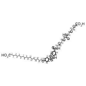 O=C(O)CCCCCCCCCCCCCCCCCOc1ccc(S(=O)(=O)Nc2ccc(C(=O)NCCOCCOCC(=O)NCCOCCOCC(=O)O)cn2)cc1